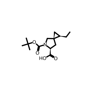 CC[C@@H]1C[C@]12C[C@@H](C(=O)O)N(C(=O)OC(C)(C)C)C2